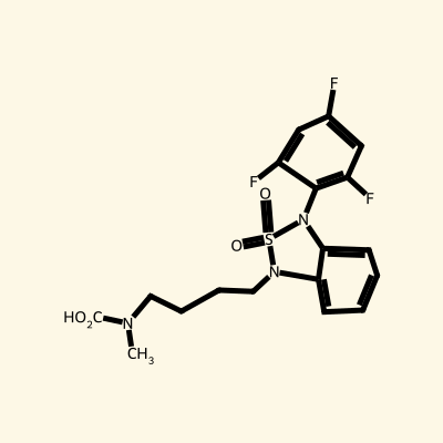 CN(CCCCN1c2ccccc2N(c2c(F)cc(F)cc2F)S1(=O)=O)C(=O)O